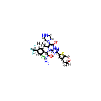 [2H]C1([2H])Cc2cc(-c3nc4n(C(C(N)=O)c5ccc(C(F)(F)F)cc5Cl)c(CC)c(N5CCNCC5)c(=O)n4n3)sc2CO1